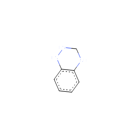 c1ccc2c(c1)NCNN2